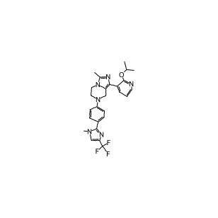 Cc1nc(-c2cccnc2OC(C)C)c2n1CCN(c1ccc(-c3nc(C(F)(F)F)cn3C)cc1)C2